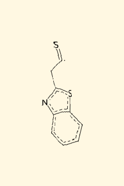 S=[C]Cc1nc2ccccc2s1